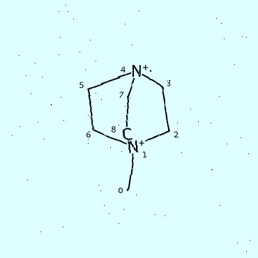 C[N+]12CC[N+](CC1)CC2